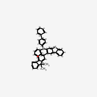 CC1(C)c2ccccc2-c2ccc(-c3cc4c(cc3N(c3ccccc3)c3ccc(-c5ccccc5)cc3)sc3ccccc34)cc21